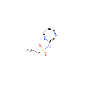 CCS(=O)(=O)NC1=CN=C=CC=N1